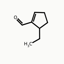 CCC1CCC=C1C=O